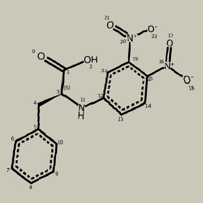 O=C(O)[C@H](Cc1ccccc1)Nc1ccc([N+](=O)[O-])c([N+](=O)[O-])c1